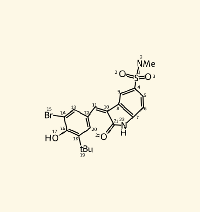 CNS(=O)(=O)c1ccc2c(c1)C(=Cc1cc(Br)c(O)c(C(C)(C)C)c1)C(=O)N2